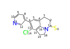 S=C1CCc2cc(-c3cccnc3)c(Cl)c3c2N1CC3